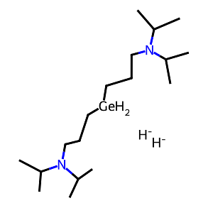 CC(C)N(CC[CH2][GeH2][CH2]CCN(C(C)C)C(C)C)C(C)C.[H-].[H-]